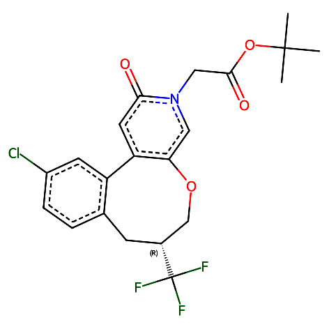 CC(C)(C)OC(=O)Cn1cc2c(cc1=O)-c1cc(Cl)ccc1C[C@@H](C(F)(F)F)CO2